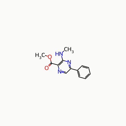 CNc1nc(-c2ccccc2)cnc1C(=O)OC